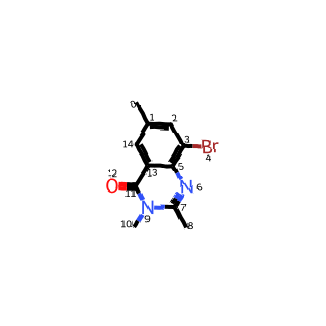 Cc1cc(Br)c2nc(C)n(C)c(=O)c2c1